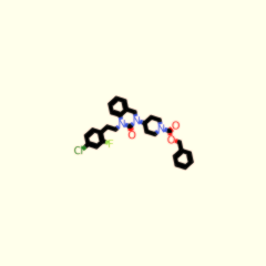 O=C(OCc1ccccc1)N1CCC(N2Cc3ccccc3N(CCc3ccc(Cl)cc3F)C2=O)CC1